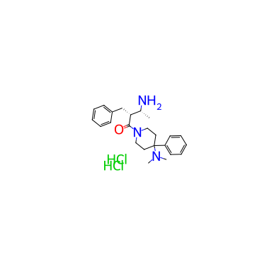 C[C@@H](N)[C@@H](Cc1ccccc1)C(=O)N1CCC(c2ccccc2)(N(C)C)CC1.Cl.Cl